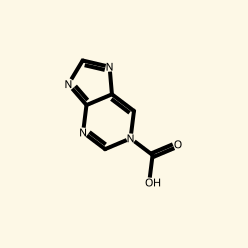 O=C(O)n1cnc2ncnc-2c1